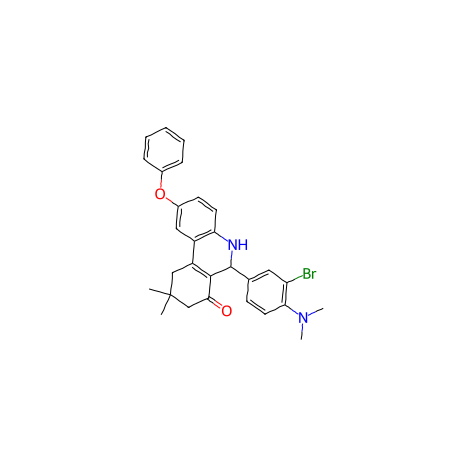 CN(C)c1ccc(C2Nc3ccc(Oc4ccccc4)cc3C3=C2C(=O)CC(C)(C)C3)cc1Br